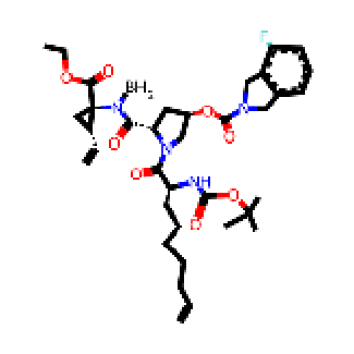 BN(C(=O)[C@@H]1C[C@@H](OC(=O)N2Cc3cccc(F)c3C2)CN1C(=O)[C@H](CCCCCC=C)NC(=O)OC(C)(C)C)[C@]1(C(=O)OCC)C[C@H]1C=C